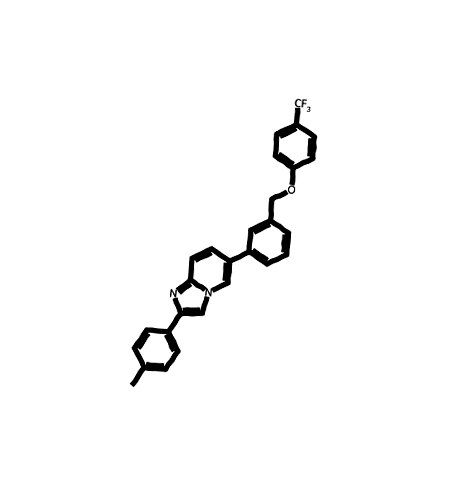 Cc1ccc(-c2cn3cc(-c4cccc(COc5ccc(C(F)(F)F)cc5)c4)ccc3n2)cc1